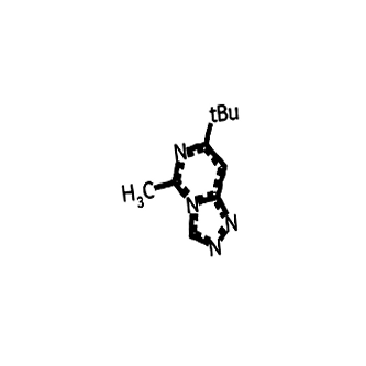 Cc1nc(C(C)(C)C)cc2nncn12